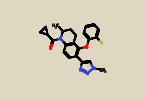 CC1CCc2c(ccc(-c3cn(C)nn3)c2Oc2ccccc2F)N1C(=O)C1CC1